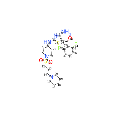 Nc1nc(NC2CCN(S(=O)(=O)CCCN3CCCCC3)CC2)sc1C(=O)c1c(F)cccc1F